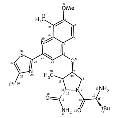 COc1ccc2c(O[C@H]3CN(C(=O)[C@@H](N)C(C)(C)C)[C@H](C(N)=O)C3C)cc(-c3nc(C(C)C)cs3)nc2c1C